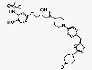 CS(=O)(=O)Nc1cc(OC[C@@H](O)CNC2CCN(c3ccc(C=C4CN=C(N5CCC(=O)CC5)S4)cc3)CC2)ccc1O